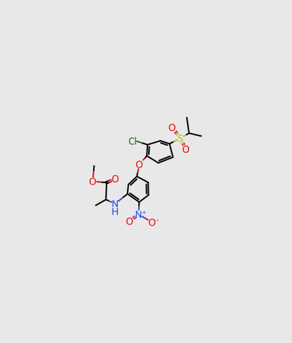 COC(=O)C(C)Nc1cc(Oc2ccc(S(=O)(=O)C(C)C)cc2Cl)ccc1[N+](=O)[O-]